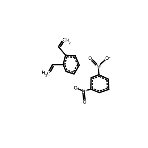 C=Cc1ccccc1C=C.O=[N+]([O-])c1cccc([N+](=O)[O-])c1